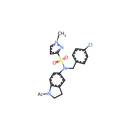 CC(=O)N1CCc2cc(N(Cc3ccc(Cl)cc3)S(=O)(=O)c3ccn(C)n3)ccc21